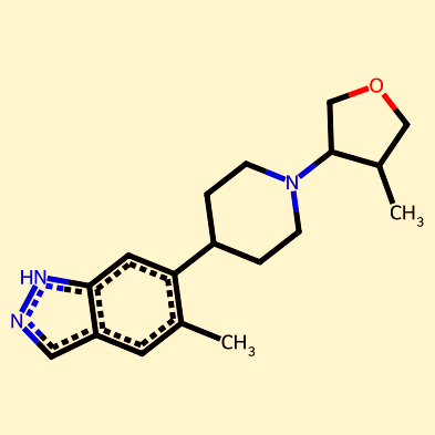 Cc1cc2cn[nH]c2cc1C1CCN(C2COCC2C)CC1